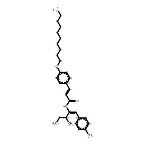 CCCCCCCCCCOc1ccc(C=CC(=O)OC(=Cc2ccc(N)cc2)C(C)CC)cc1